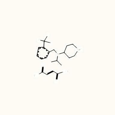 CC(C)N(Cc1ccccc1C(F)(F)F)C1CCNCC1.O=C(O)C=CC(=O)O